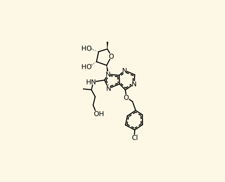 CC(CCO)Nc1nc2c(OCc3ccc(Cl)cc3)ncnc2n1[C@@H]1O[C@H](C)[C@@H](O)[C@H]1O